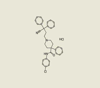 Cl.N#CC(CCN1CCC(C(=O)Nc2ccc(Cl)cc2)(c2ccccc2)CC1)(c1ccccc1)c1ccccc1